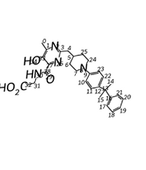 Cc1nc(CC2CCN(c3ccc(C(C)(C)c4ccccc4)cc3)CC2)nc(C(=O)NCC(=O)O)c1O